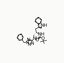 CC(C)(C)OC(=O)N[C@H](CNc1nnn(Cc2ccccc2)n1)Cc1c[nH]c2ccccc12